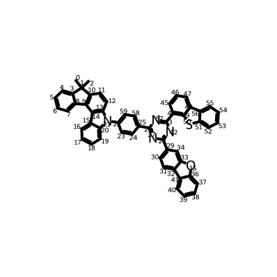 CC1(C)c2ccccc2-c2c1ccc1c2c2ccccc2n1-c1ccc(-c2nc(-c3ccc4c(c3)oc3ccccc34)nc(-c3cccc4c3sc3ccccc34)n2)cc1